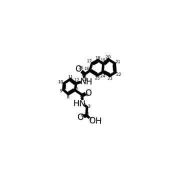 O=C(O)CNC(=O)c1ccccc1NC(=O)c1ccc2ccccc2c1